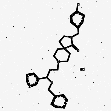 Cl.O=C1N(Cc2ccc(Br)cc2)CCC12CCN(CCC(OCc1ccccc1)c1ccccc1)CC2